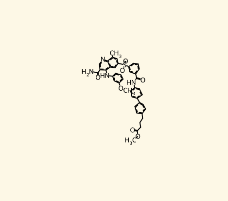 COC(=O)CCCc1ccc(-c2ccc(NC(=O)c3cccc(S(=O)(=O)c4cc(C)c5ncc(C(N)=O)c(Nc6cccc(OC)c6)c5c4)c3)cc2)cc1